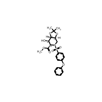 COC(=O)[C@H]1[C@@H](O)[C@@H]2OC(C)(C)O[C@H]2CN1S(=O)(=O)c1ccc(Oc2ccccc2)cc1